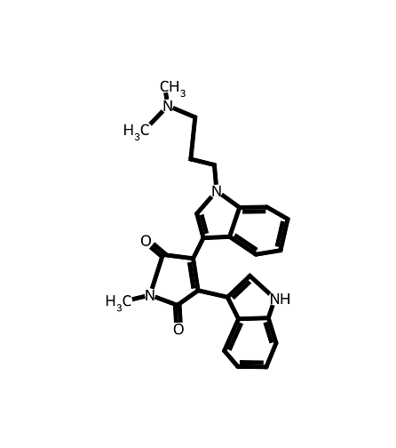 CN(C)CCCn1cc(C2=C(c3c[nH]c4ccccc34)C(=O)N(C)C2=O)c2ccccc21